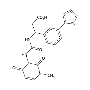 CN1C=CC(=O)C(NC(=O)NC(CC(=O)O)c2cccc(-c3cccs3)c2)C1=O